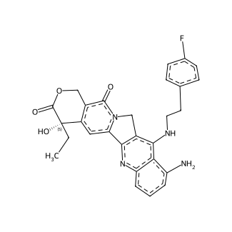 CC[C@@]1(O)C(=O)OCc2c1cc1n(c2=O)Cc2c-1nc1cccc(N)c1c2NCCc1ccc(F)cc1